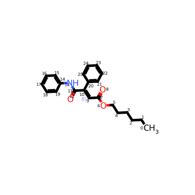 CCCCCCOC(=O)/C=C(/C(=O)Nc1ccccc1)c1ccccc1